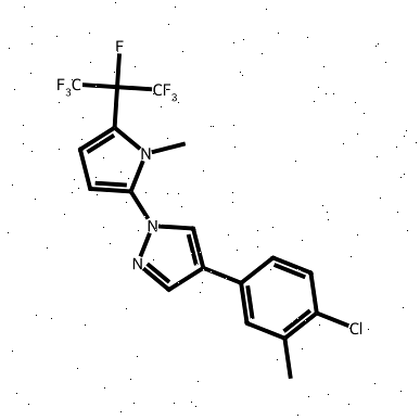 Cc1cc(-c2cnn(-c3ccc(C(F)(C(F)(F)F)C(F)(F)F)n3C)c2)ccc1Cl